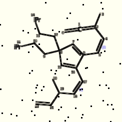 C=C=C(C)/C=C\C1=CC(CCC(C)C)(CCC(C)C)C=C1/C=C\C(C)C=C